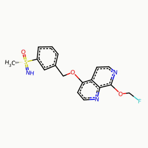 C[S@](=N)(=O)c1cccc(COc2ccnc3c(OCF)nccc23)c1